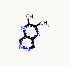 Cc1nc2cnncc2nc1C